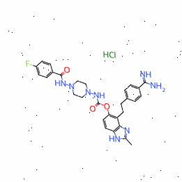 Cc1nc2c(CCc3ccc(C(=N)N)cc3)c(OC(=O)NN3CCN(NC(=O)c4ccc(F)cc4)CC3)ccc2[nH]1.Cl